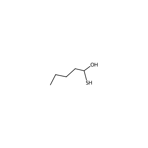 CCCCC(O)S